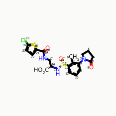 Cc1c(N2CCCC2=O)cccc1[S+]([O-])N[C@@H](CNC(=O)c1ccc(Cl)s1)C(=O)O